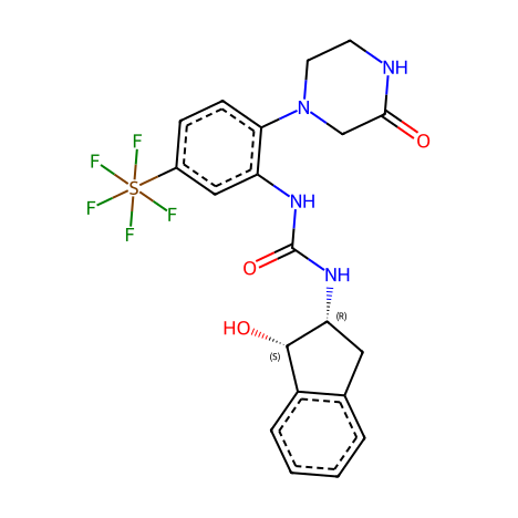 O=C1CN(c2ccc(S(F)(F)(F)(F)F)cc2NC(=O)N[C@@H]2Cc3ccccc3[C@@H]2O)CCN1